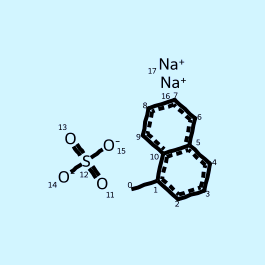 Cc1cccc2ccccc12.O=S(=O)([O-])[O-].[Na+].[Na+]